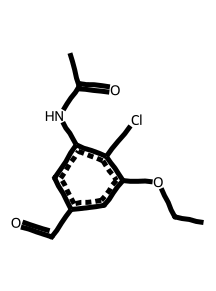 CCOc1cc(C=O)cc(NC(C)=O)c1Cl